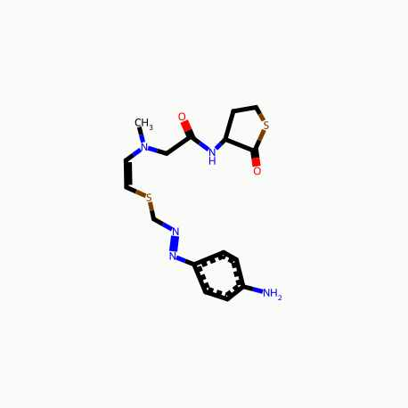 CN(/C=C\SC/N=N/c1ccc(N)cc1)CC(=O)NC1CCSC1=O